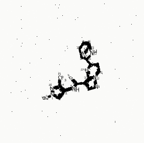 CC(C)(C)n1cc(NC(=O)c2cnn3ccc(N4CC5CCC4CN5)nc23)c(C(F)(F)F)n1